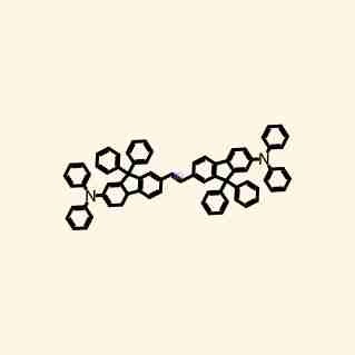 C1=C(N(c2ccccc2)c2ccccc2)C=C2C(C1)c1ccc(/C=C/c3ccc4c(c3)C(c3ccccc3)(c3ccccc3)c3cc(N(c5ccccc5)c5ccccc5)ccc3-4)cc1C2(c1ccccc1)c1ccccc1